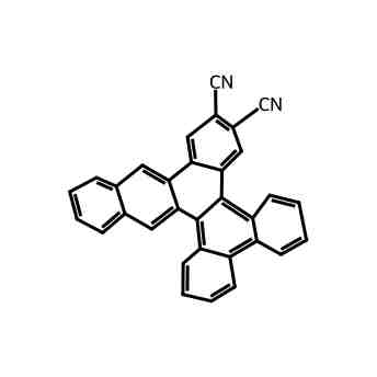 N#Cc1cc2c3cc4ccccc4cc3c3c4ccccc4c4ccccc4c3c2cc1C#N